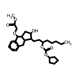 CCCCCC(CCC1C(O)CC2C(OCC(=O)OC)c3ccccc3CC12)OC(=O)OC1CCCC1